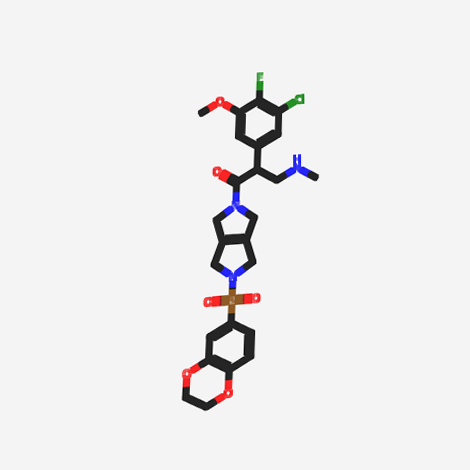 CNCC(C(=O)N1CC2=C(C1)CN(S(=O)(=O)c1ccc3c(c1)OCCO3)C2)c1cc(Cl)c(F)c(OC)c1